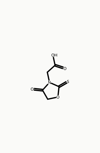 O=C(O)CN1C(=O)COC1=S